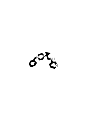 c1ccc(CN2CCN(C3(CNc4cccnc4)CC3)CC2)cc1